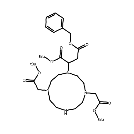 CC(C)(C)OC(=O)CN1CCNCCN(CC(=O)OC(C)(C)C)CCN(C(CC(=O)OCc2ccccc2)C(=O)OC(C)(C)C)CC1